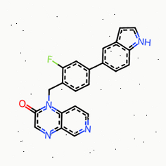 O=c1cnc2cnccc2n1Cc1ccc(-c2ccc3[nH]ccc3c2)cc1F